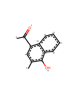 CC(=O)c1cc(C)c(O)c2ccccc12